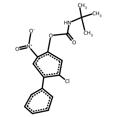 CC(C)(C)NC(=O)Oc1cc(Cl)c(-c2ccccc2)cc1[N+](=O)[O-]